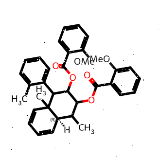 COc1ccccc1C(=O)OC1C(OC(=O)c2ccccc2OC)C(c2ccccc2C)C2(C)C=CC=C[C@@H]2C1C